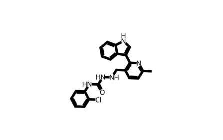 Cc1ccc(CNNC(=O)Nc2ccccc2Cl)c(-c2c[nH]c3ccccc23)n1